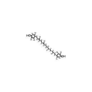 CC(/C=C/C=C(C)/C=C/c1c(C)cc(O)c(C)c1C)=C\C=C\C=C(C)\C=C\C=C(C)\C=C\c1c(C)cc(O)c(C)c1C